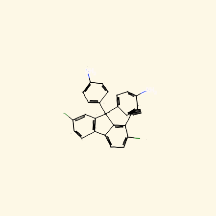 C#Cc1c(Cl)ccc2c1C(c1ccc(N)cc1)(c1ccc(N)cc1)c1cc(Cl)ccc1-2